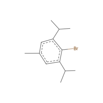 Cc1cc(C(C)C)c(Br)c(C(C)C)c1